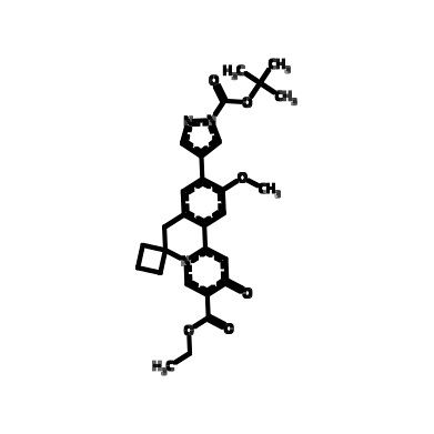 CCOC(=O)c1cn2c(cc1=O)-c1cc(OC)c(-c3cnn(C(=O)OC(C)(C)C)c3)cc1CC21CCC1